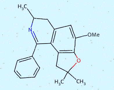 COc1cc2c(c3c1OC(C)(C)C3)C(c1ccccc1)=NC(C)C2